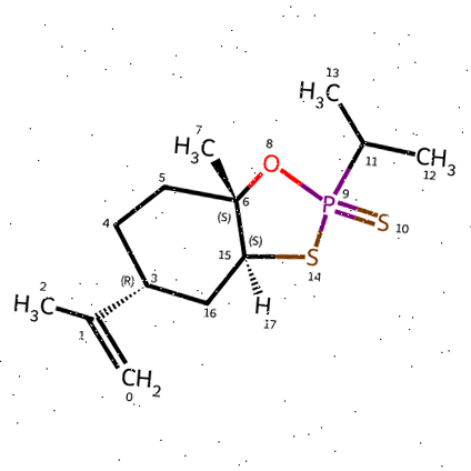 C=C(C)[C@@H]1CC[C@]2(C)OP(=S)(C(C)C)S[C@H]2C1